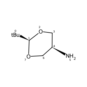 CC(C)(C)[C@H]1OC[C@@H](N)CO1